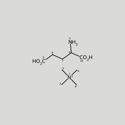 C[N+](C)(C)C.NC(CCC(=O)O)C(=O)O